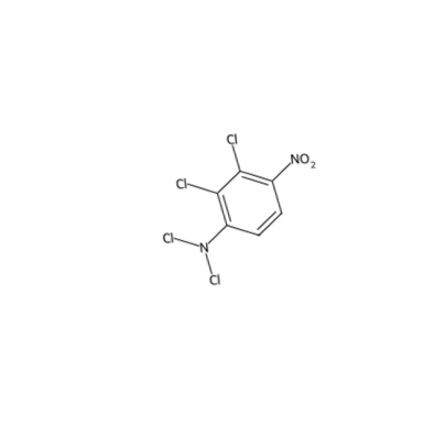 O=[N+]([O-])c1ccc(N(Cl)Cl)c(Cl)c1Cl